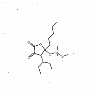 CCCCCC1(O[SiH](C)OC)SC(=O)C(=O)C1N(CC)CC